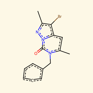 Cc1nn2c(=O)n(Cc3ccccc3)c(C)cc2c1Br